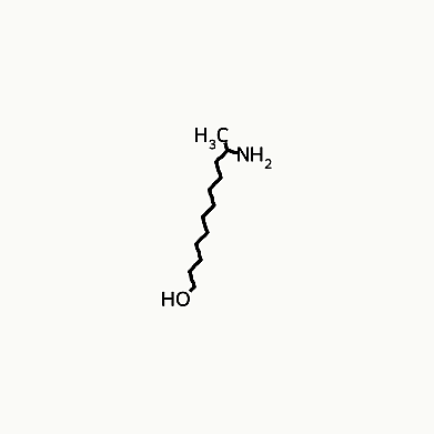 CC(N)CCCCCCCCCCO